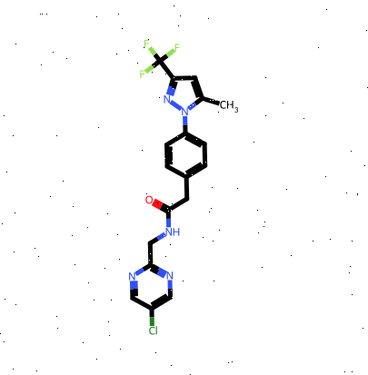 Cc1cc(C(F)(F)F)nn1-c1ccc(CC(=O)NCc2ncc(Cl)cn2)cc1